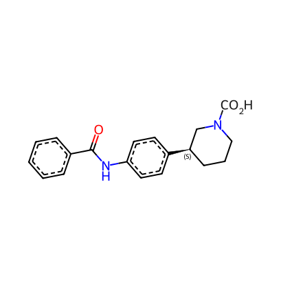 O=C(Nc1ccc([C@@H]2CCCN(C(=O)O)C2)cc1)c1ccccc1